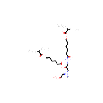 CCCCCCCCC(CCCCCC)C(=O)OCCCCCC(=O)NCC(CN(C)CCO)OC(=O)CCCCCOC(=O)C(CCCCCC)CCCCCCCC